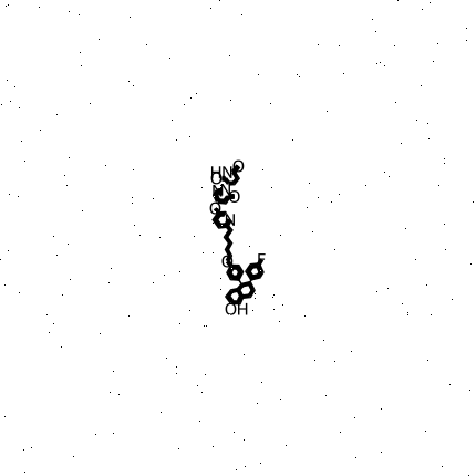 O=C1CCC(n2ncc(Oc3ccc(CCCCCOc4ccc([C@@H]5C6CC=C(O)C=C6CC[C@@H]5c5ccc(F)cc5)cc4)nc3)cc2=O)C(=O)N1